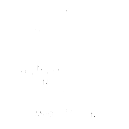 COc1cc(N2CC(=O)N(c3ccc(Oc4ccc(Cl)cc4)cc3)C2=O)ccc1OCCN1CCCC1